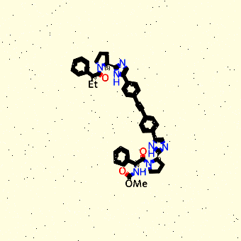 CC[C@@H](C(=O)N1CCC[C@H]1c1ncc(-c2ccc(C#Cc3ccc(-c4cnc([C@@H]5CCCN5C(=O)[C@H](NC(=O)OC)c5ccccc5)[nH]4)cc3)cc2)[nH]1)c1ccccc1